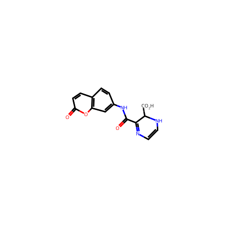 O=C(Nc1ccc2ccc(=O)oc2c1)C1=NC=CNC1C(=O)O